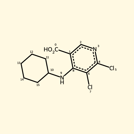 O=C(O)c1cnc(Cl)c(Cl)c1NC1CCCCC1